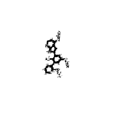 CC(=O)c1c(-c2cc3c(N=[N+]=[N-])ccnc3[nH]2)cc(N=[N+]=[N-])cc1-c1cccnc1N=[N+]=[N-]